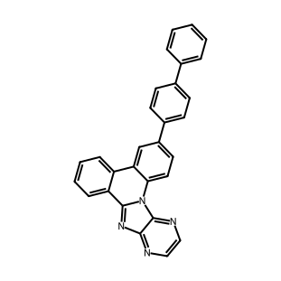 c1ccc(-c2ccc(-c3ccc4c(c3)c3ccccc3c3nc5nccnc5n43)cc2)cc1